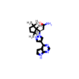 BC1(B)CCC(B)(B)C1(B)[C@@H](CC(N)=O)n1cc(-c2ncnc3[nH]ccc23)cn1